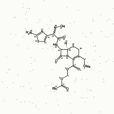 COCC1=C(C(=O)OCOC(=O)C(C)(C)C)N2C(=O)C(NC(=O)/C(=N\O)c3csc(N)n3)[C@H]2SC1